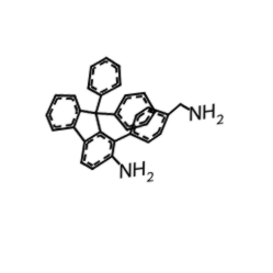 NCc1ccc(-c2c(N)ccc3c2C(c2ccccc2)(c2ccccc2)c2ccccc2-3)cc1